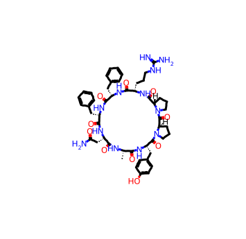 C[C@@H]1NC(=O)[C@H](CC(N)=O)NC(=O)[C@H](Cc2ccccc2)NC(=O)[C@H](Cc2ccccc2)NC(=O)[C@H](CCCNC(=N)N)NC(=O)[C@@H]2CCCN2C(=O)[C@H]2CCCN2C(=O)[C@H](Cc2ccc(O)cc2)NC1=O